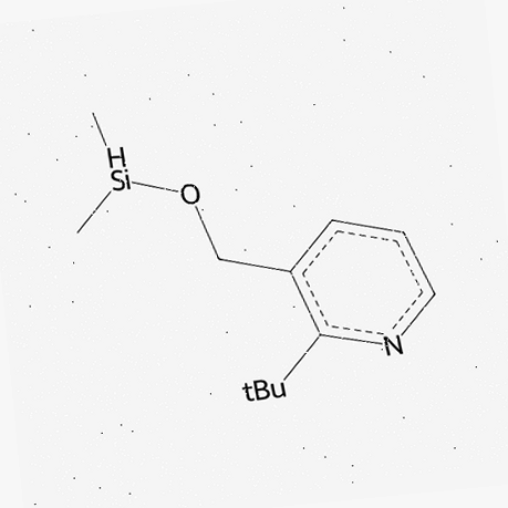 C[SiH](C)OCc1cccnc1C(C)(C)C